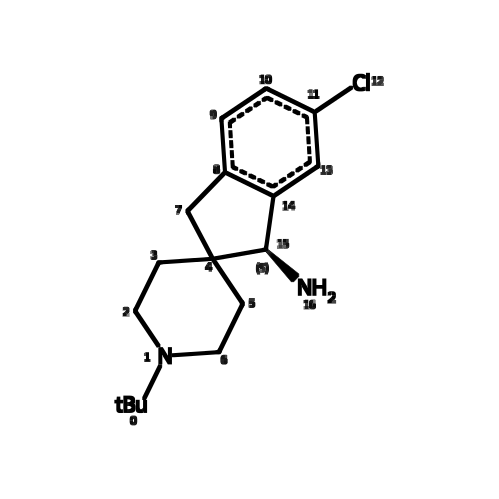 CC(C)(C)N1CCC2(CC1)Cc1ccc(Cl)cc1[C@H]2N